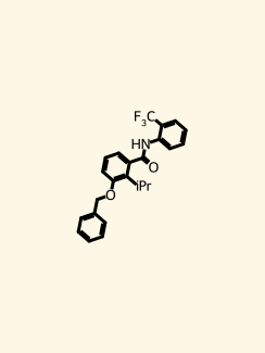 CC(C)c1c(OCc2ccccc2)cccc1C(=O)Nc1ccccc1C(F)(F)F